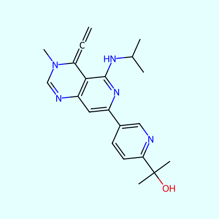 C=C=C1c2c(cc(-c3ccc(C(C)(C)O)nc3)nc2NC(C)C)N=CN1C